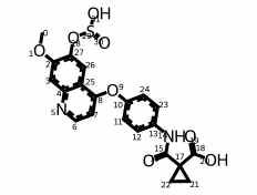 COc1cc2nccc(Oc3ccc(NC(=O)C4(C(=O)O)CC4)cc3)c2cc1OS(=O)O